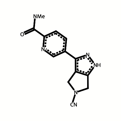 CNC(=O)c1ccc(-c2n[nH]c3c2CN(C#N)C3)cn1